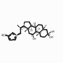 CCC[C@@]1(O)CC[C@@]2(C)[C@H](CC[C@@H]3[C@@H]2[C@@H](O)C[C@]2(C)[C@@H]([C@H](C)Cn4ccc(C#N)c4)CC[C@@H]32)C1